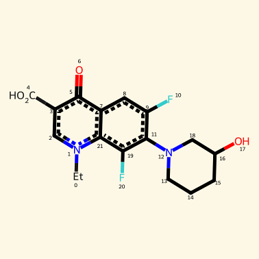 CCn1cc(C(=O)O)c(=O)c2cc(F)c(N3CCCC(O)C3)c(F)c21